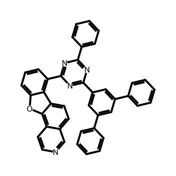 c1ccc(-c2cc(-c3ccccc3)cc(-c3nc(-c4ccccc4)nc(-c4cccc5oc6c7ccncc7ccc6c45)n3)c2)cc1